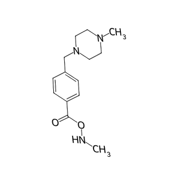 CNOC(=O)c1ccc(CN2CCN(C)CC2)cc1